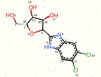 OC[C@H]1OC(c2nc3cc(Cl)c(Cl)cc3[nH]2)[C@H](O)[C@@H]1O